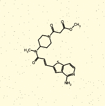 COC(=O)CC(=O)N1CCC(N(C)C(=O)C=Cc2cc3c(N)nccc3s2)CC1